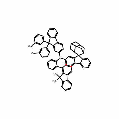 CC(C)(C)c1cccc(C2(c3cccc(C(C)(C)C)c3)c3ccccc3-c3ccc(N(c4ccc5c(c4)C4(c6ccccc6-5)C5CC6CC(C5)CC4C6)c4ccccc4-c4cccc5c4C(C)(C)c4ccccc4-5)cc32)c1